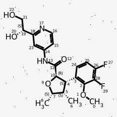 COc1c([C@@H]2[C@H](C)[C@H](C)O[C@H]2C(=O)Nc2ccnc([C@H](O)CO)c2)ccc(F)c1F